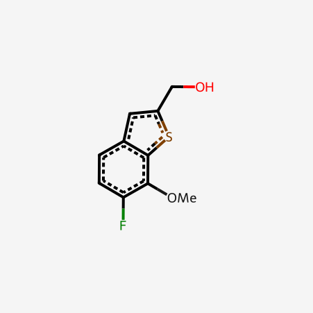 COc1c(F)ccc2cc(CO)sc12